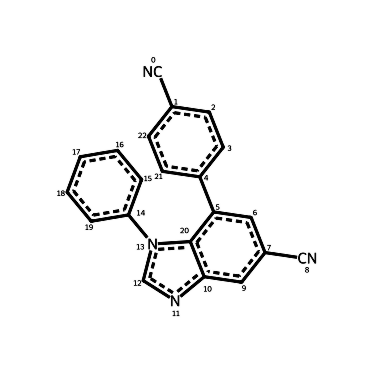 N#Cc1ccc(-c2cc(C#N)cc3ncn(-c4ccccc4)c23)cc1